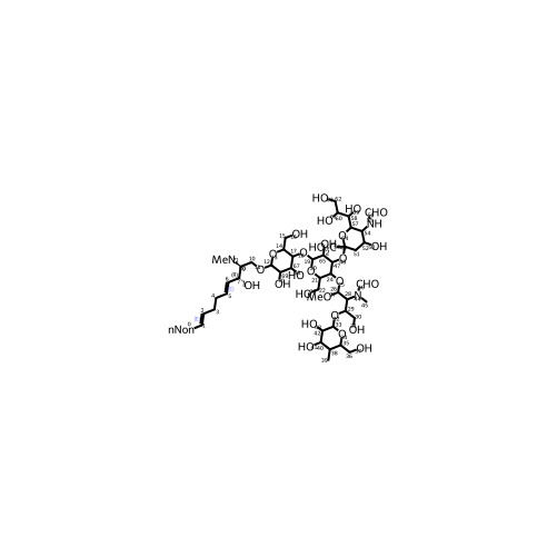 CCCCCCCCC/C=C/CC/C=C/[C@@H](O)[C@H](COC1OC(CO)C(OC2OC(CO)C(OC(OC)C(C(CO)OC3OC(CO)C(C)C(O)C3O)N(C)C=O)C(OC3(C(=O)O)CC(O)C(NC=O)C(C(O)C(O)CO)O3)C2O)C(O)C1O)NC